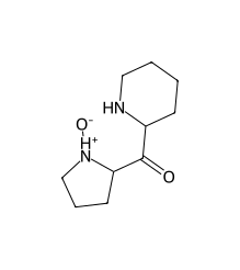 O=C(C1CCCCN1)C1CCC[NH+]1[O-]